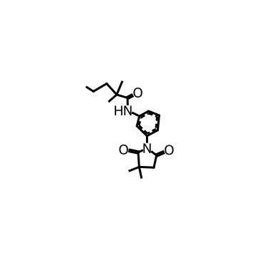 CCCC(C)(C)C(=O)Nc1cccc(N2C(=O)CC(C)(C)C2=O)c1